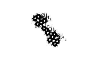 CC1(C)c2cc(-c3c4ccccc4c(-c4c([Si](C)(C)C)ccc5ccccc45)c4ccccc34)ccc2-c2ccc(-c3c4ccccc4c(-c4c([Si](C)(C)C)ccc5ccccc45)c4ccccc34)cc21